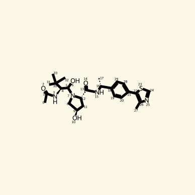 CC(=O)N[C@H](C(O)N1C[C@H](O)C[C@H]1C(=O)N[C@H](C)c1ccc(-c2scnc2C)cc1)C(C)(C)C